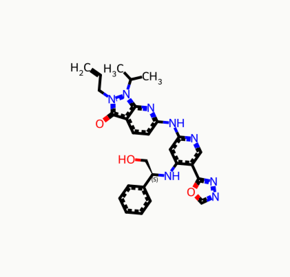 C=CCn1c(=O)c2ccc(Nc3cc(N[C@H](CO)c4ccccc4)c(-c4nnco4)cn3)nc2n1C(C)C